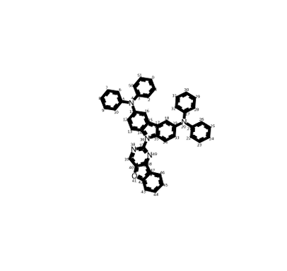 c1ccc(N(c2ccccc2)c2ccc3c(c2)c2cc(N(c4ccccc4)c4ccccc4)ccc2n3-c2ncc3oc4ccccc4c3n2)cc1